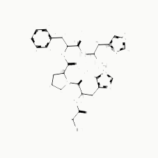 CC(C)CC(=O)NC(Cc1c[nH]cn1)C(=O)N1CCCC1C(=O)NC(Cc1ccccc1)C(=O)NC([C]=O)Cc1c[nH]cn1